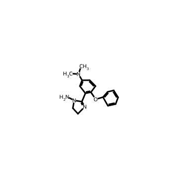 CN(C)c1ccc(Oc2ccccc2)c(C2=NCCN2N)c1